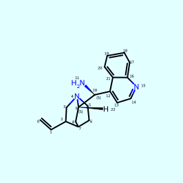 C=CC1CN2CCC1C[C@H]2[C@@H](N)c1ccnc2ccccc12